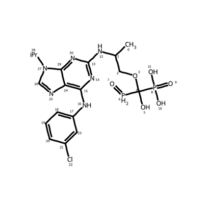 CC(COC(O)([PH2]=O)P(=O)(O)O)Nc1nc(Nc2cccc(Cl)c2)c2ncn(C(C)C)c2n1